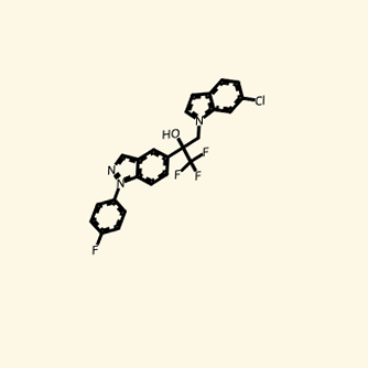 OC(Cn1ccc2ccc(Cl)cc21)(c1ccc2c(cnn2-c2ccc(F)cc2)c1)C(F)(F)F